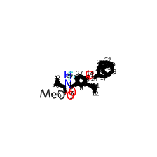 COC(=O)[C@@H](NC(=O)c1cc(C2CC2)c(OCC2CC3CC4CCC2C(C4)C3)cc1F)C1CC1